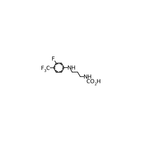 O=C(O)NCCCNc1ccc(C(F)(F)F)c(F)c1